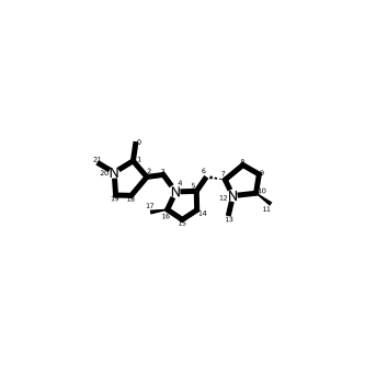 CC1C(CN2C(C[C@@H]3CC[C@@H](C)N3C)CC[C@H]2C)CCN1C